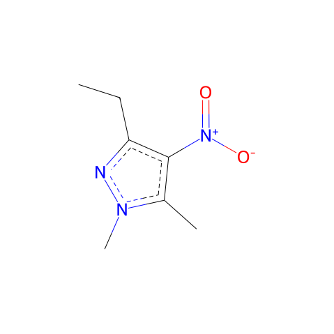 CCc1nn(C)c(C)c1[N+](=O)[O-]